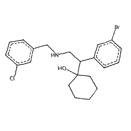 OC1(C(CNCc2cccc(Cl)c2)c2cccc(Br)c2)CCCCC1